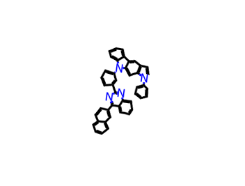 c1ccc(-n2ccc3cc4c5ccccc5n(-c5cccc(-c6nc(-c7ccc8ccccc8c7)c7ccccc7n6)c5)c4cc32)cc1